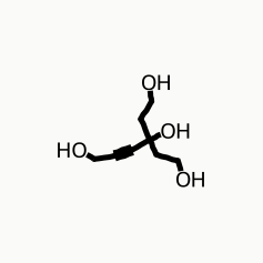 OCC#CC(O)(CCO)CCO